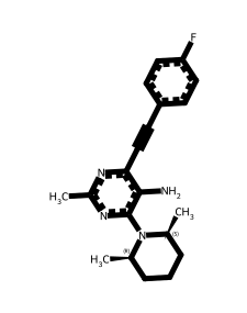 Cc1nc(C#Cc2ccc(F)cc2)c(N)c(N2[C@H](C)CCC[C@@H]2C)n1